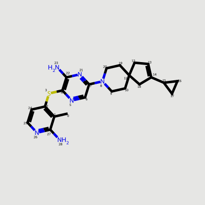 Cc1c(Sc2ncc(N3CCC4(CC=C(C5CC5)C4)CC3)nc2N)ccnc1N